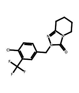 O=c1n(Cc2ccc(Cl)c(C(F)(F)F)c2)nc2n1CCCC2